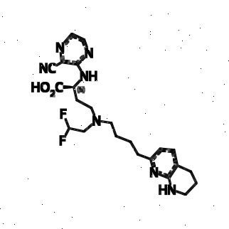 N#Cc1nccnc1N[C@@H](CCN(CCCCc1ccc2c(n1)NCCC2)CC(F)F)C(=O)O